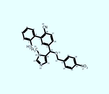 Cc1ccccc1-c1cc(C(OCc2ccc([N+](=O)[O-])cc2)c2cncn2C)ccc1C#N